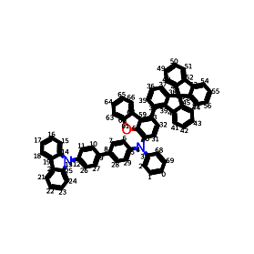 c1ccc(N(c2ccc(-c3ccc(-n4c5ccccc5c5ccccc54)cc3)cc2)c2ccc(-c3cccc4c3-c3ccccc3C43c4ccccc4-c4ccccc43)c3c2oc2ccccc23)cc1